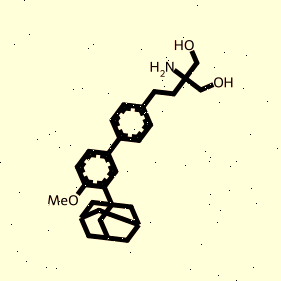 COc1ccc(-c2ccc(CCC(N)(CO)CO)cc2)cc1C12CC3CC(CC(C3)C1)C2